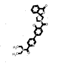 CCN(CC)C(=O)c1ccc(-c2ccc(C(=O)N3CC[C@@]4(C3)OC(=O)c3ccccc34)c(Cl)c2)cn1